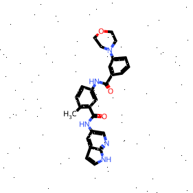 Cc1ccc(NC(=O)c2cccc(N3CCOCC3)c2)cc1C(=O)Nc1cnc2[nH]ccc2c1